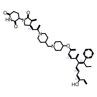 C=C\C(O)=C/C=C/C(C(=C)/C=C\C(=C)OC1CCN(CC2CCN(C(=C)/C=C3/CN(C4CCC(=O)NC4=O)C(=O)C3=C)CC2)CC1)=C(\CC)c1ccccc1